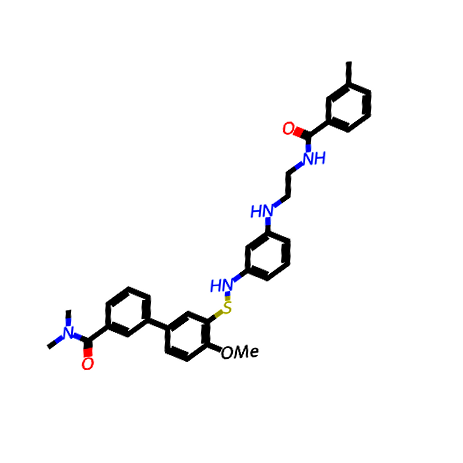 COc1ccc(-c2cccc(C(=O)N(C)C)c2)cc1SNc1cccc(NCCNC(=O)c2cccc(C)c2)c1